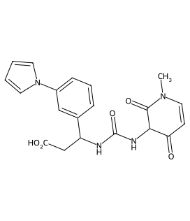 CN1C=CC(=O)C(NC(=O)NC(CC(=O)O)c2cccc(-n3cccc3)c2)C1=O